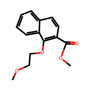 COCCOc1c(C(=O)OC)ccc2ccccc12